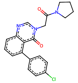 O=C(Cn1cnc2cccc(-c3ccc(Cl)cc3)c2c1=O)N1CCCC1